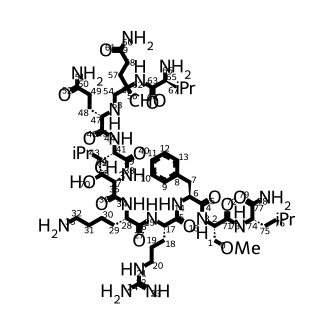 COC[C@H](NC(=O)[C@H](Cc1ccccc1)NC(=O)[C@H](CCCNC(=N)N)NC(=O)[C@H](CCCCN)NC(=O)[C@@H](NC(=O)[C@H](CC(C)C)NC(=O)[C@H](CCC(N)=O)NCC(C=O)(CCC(N)=O)NC(=O)[C@@H](N)C(C)C)[C@@H](C)O)C(=O)N[C@@H](CC(C)C)C(N)=O